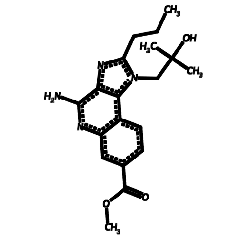 CCCc1nc2c(N)nc3cc(C(=O)OC)ccc3c2n1CC(C)(C)O